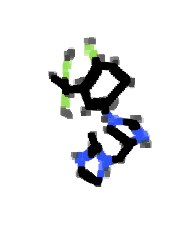 Cc1nccn1Cc1cn(-c2ccc(F)c(C(C)(F)F)c2)cn1